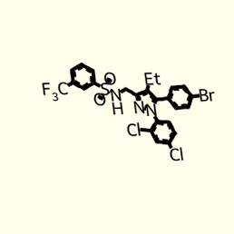 CCc1c(CNS(=O)(=O)c2cccc(C(F)(F)F)c2)nn(-c2ccc(Cl)cc2Cl)c1-c1ccc(Br)cc1